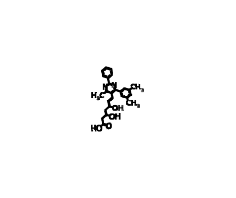 Cc1cc(C)cc(-c2nc(-c3ccccc3)nc(C)c2C=CC(O)CC(O)CC(=O)O)c1